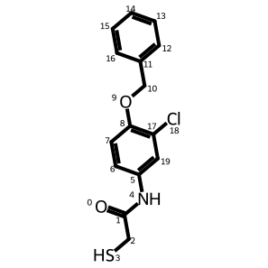 O=C(CS)Nc1ccc(OCc2ccccc2)c(Cl)c1